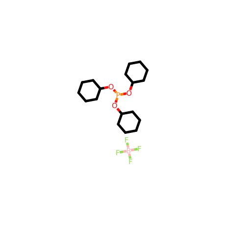 C1CCC(OP(OC2CCCCC2)OC2CCCCC2)CC1.F[B-](F)(F)F